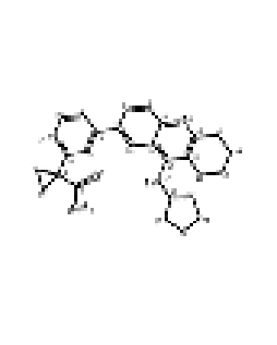 NC(=O)C1(c2cc(-c3ccc4nc5c(c(NC6CCCC6)c4c3)CCCC5)ccn2)CC1